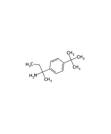 CCC(C)(N)c1ccc(C(C)(C)C)cc1